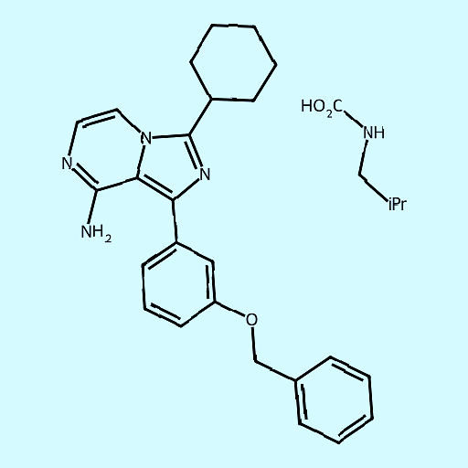 CC(C)CNC(=O)O.Nc1nccn2c(C3CCCCC3)nc(-c3cccc(OCc4ccccc4)c3)c12